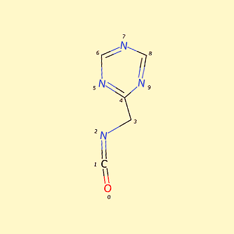 O=C=NCc1ncncn1